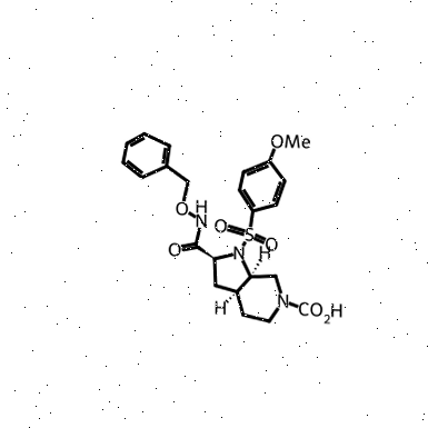 COc1ccc(S(=O)(=O)N2[C@H](C(=O)NOCc3ccccc3)C[C@@H]3CCN(C(=O)O)C[C@@H]32)cc1